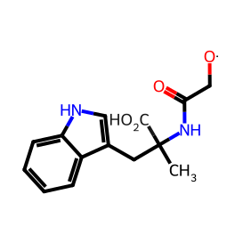 CC(Cc1c[nH]c2ccccc12)(NC(=O)C[O])C(=O)O